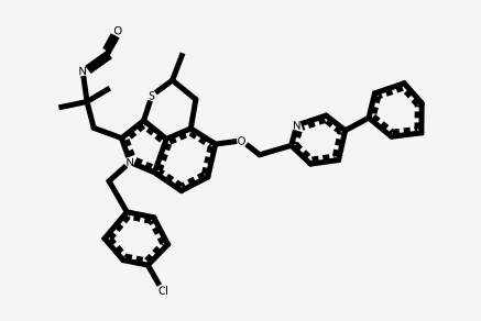 CC1Cc2c(OCc3ccc(-c4ccccc4)cn3)ccc3c2c(c(CC(C)(C)N=C=O)n3Cc2ccc(Cl)cc2)S1